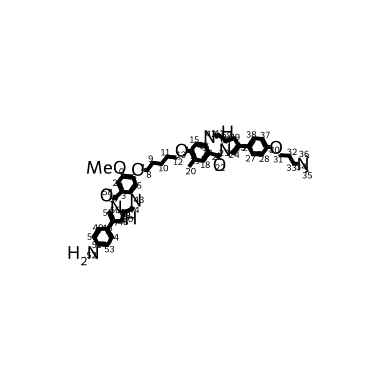 COc1cc2c(cc1OCCCCCOc1cc3c(cc1C)C(=O)N1C=C(c4ccc(OCCCN(C)C)cc4)C[C@H]1C=N3)N=C[C@@H]1CC(c3ccc(N)cc3)=CN1C2=O